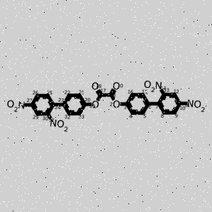 O=C(Oc1ccc(-c2ccc([N+](=O)[O-])cc2[N+](=O)[O-])cc1)C(=O)Oc1ccc(-c2ccc([N+](=O)[O-])cc2[N+](=O)[O-])cc1